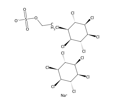 CCOS(=O)(=O)[O-].Cl[C@H]1[C@H](Cl)[C@@H](Cl)[C@@H](Cl)[C@H](Cl)[C@H]1Cl.Cl[C@H]1[C@H](Cl)[C@@H](Cl)[C@@H](Cl)[C@H](Cl)[C@H]1Cl.[Na+]